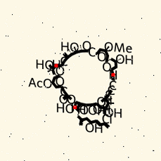 C=C(Cl)/C=C/[C@H](O)CC(=C)C[C@H]1OC2[C@@H](O)[C@]3(O)C[C@@H](O)[C@H](C)[C@H](CCC/C=C\[C@@H]4C[C@@H](O)C[C@]5(C[C@H](OC)CC(CC(=O)[C@@H](C)[C@H](O)[C@@H](C)C(=C)C[C@@H]6C[C@@](C)(O)C[C@]7(C[C@H](OC(C)=O)CC(CC(=O)O[C@@H]([C@@H]1O)[C@H]2C)O7)O6)O5)O4)O3